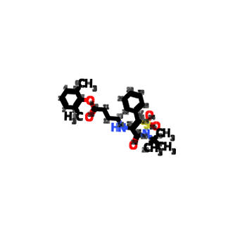 Cc1cccc(C)c1OC(=O)CCCNC1=C(c2ccccc2)S(=O)(=O)N(C(C)(C)C)C1=O